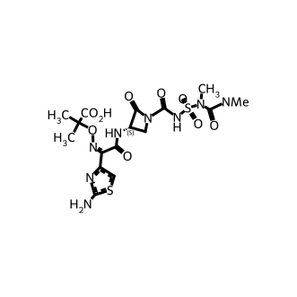 CNC(=O)N(C)S(=O)(=O)NC(=O)N1C[C@H](NC(=O)C(=NOC(C)(C)C(=O)O)c2csc(N)n2)C1=O